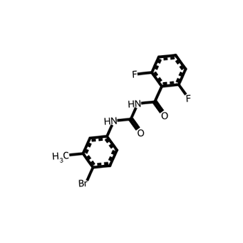 Cc1cc(NC(=O)NC(=O)c2c(F)cccc2F)ccc1Br